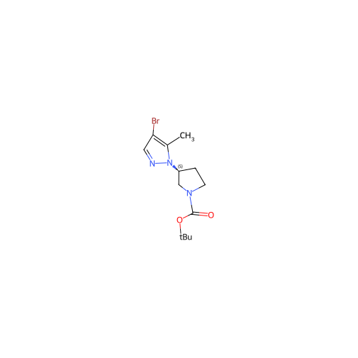 Cc1c(Br)cnn1[C@H]1CCN(C(=O)OC(C)(C)C)C1